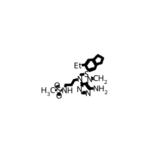 C=Nc1c(N)ncnc1N(CCCNS(C)(=O)=O)CSc1cc2c(cc1CC)CCC2